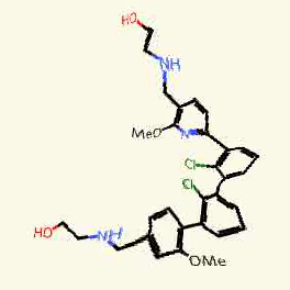 COc1cc(CNCCO)ccc1-c1cccc(-c2cccc(-c3ccc(CNCCO)c(OC)n3)c2Cl)c1Cl